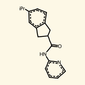 CC(C)c1ccc2c(c1)CC(C(=O)Nc1ccccn1)C2